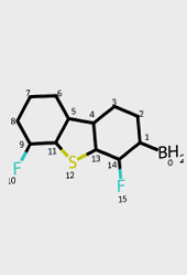 BC1CCC2C3CCCC(F)C3SC2C1F